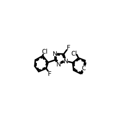 Fc1cccc(Cl)c1-c1nc(F)n(-c2ccccc2Cl)n1